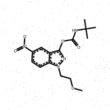 COCCn1nc(OC(=O)NC(C)(C)C)c2cc([N+](=O)[O-])ccc21